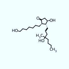 CCCCC(C)(O)CC=C[C@H]1[C@H](O)CC(=O)[C@@H]1CCCCCCCO